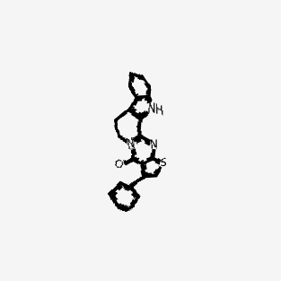 O=c1c2c(-c3ccccc3)csc2nc2n1CCc1c-2[nH]c2ccccc12